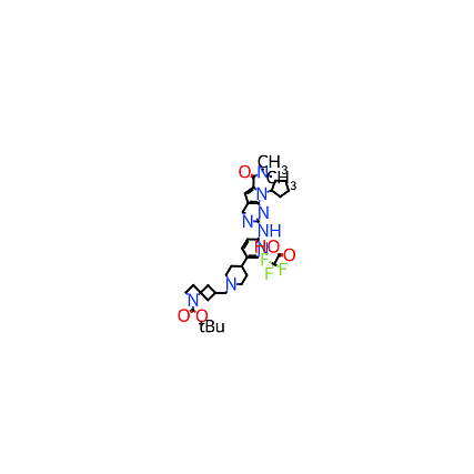 CN(C)C(=O)c1cc2cnc(Nc3ccc(C4CCN(CC5CC6(CCN6C(=O)OC(C)(C)C)C5)CC4)cn3)nc2n1C1CCCC1.O=C(O)C(F)(F)F